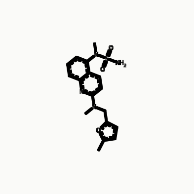 Cc1ccc(CN(C)c2ccc3c(N(C)S(N)(=O)=O)cccc3n2)o1